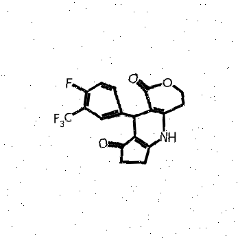 O=C1CCC2=C1C(c1ccc(F)c(C(F)(F)F)c1)C1=C(CCOC1=O)N2